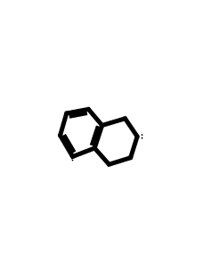 [C]1CCc2[c]cccc2C1